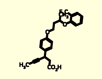 CC#CC(CC(=O)O)c1ccc(OCCC(C)Oc2ccccc2C(F)(F)F)cc1